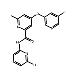 Cc1cc(Oc2cncc(Cl)c2)cc(C(=O)Nc2cccc(Cl)n2)n1